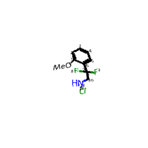 COc1ccccc1C(F)(F)CNCl